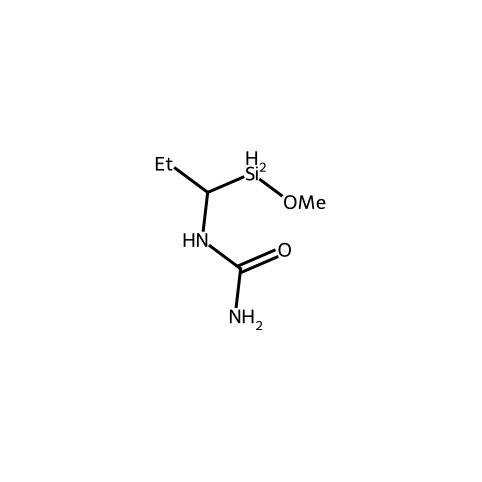 CCC(NC(N)=O)[SiH2]OC